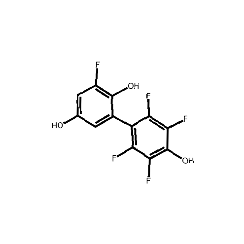 Oc1cc(F)c(O)c(-c2c(F)c(F)c(O)c(F)c2F)c1